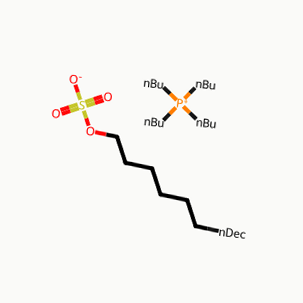 CCCCCCCCCCCCCCCCOS(=O)(=O)[O-].CCCC[P+](CCCC)(CCCC)CCCC